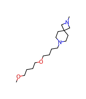 COCCCCOCCCCN1CCC2(CC1)CN(C)C2